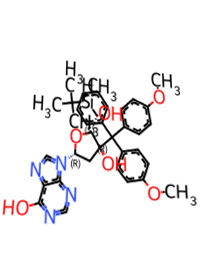 COc1ccc(C(c2ccccc2)(c2ccc(OC)cc2)[C@]2(O)C[C@H](n3cnc4c(O)ncnc43)O[C@@H]2C(O)[SiH](C)C(C)(C)C)cc1